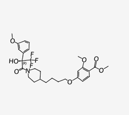 COC(=O)c1ccc(OCCCCC2CCN(C(=O)[C@](O)(c3cccc(OC)c3)C(F)(F)F)CC2)cc1OC